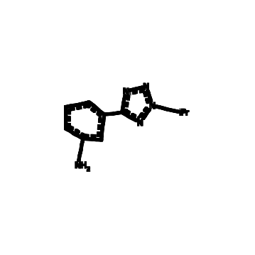 CC(C)n1nnc(-c2cccc(N)c2)n1